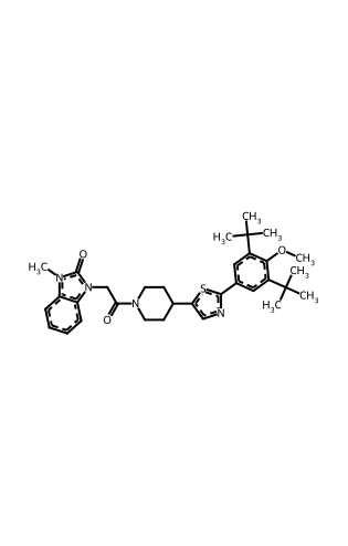 COc1c(C(C)(C)C)cc(-c2ncc(C3CCN(C(=O)Cn4c(=O)n(C)c5ccccc54)CC3)s2)cc1C(C)(C)C